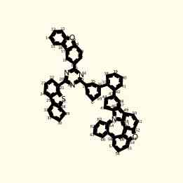 c1cc(-c2nc(-c3ccc4oc5ccccc5c4c3)nc(-c3cccc4c3sc3ccccc34)n2)cc(-c2ccccc2-c2ccc3c(c2)c2ccc4oc5cccc6c7ccccc7n3c2c4c56)c1